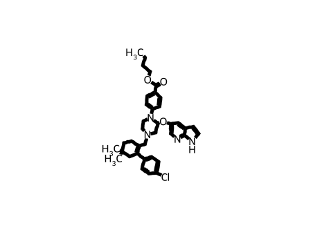 CCCCOC(=O)c1ccc(N2CCN(CC3=C(c4ccc(Cl)cc4)CC(C)(C)CC3)CC2Oc2cnc3[nH]ccc3c2)cc1